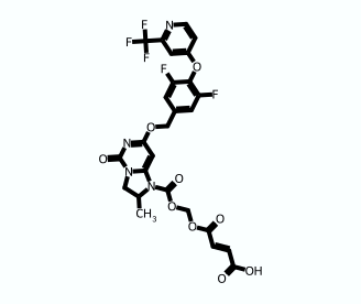 CC1Cn2c(cc(OCc3cc(F)c(Oc4ccnc(C(F)(F)F)c4)c(F)c3)nc2=O)N1C(=O)OCOC(=O)C=CC(=O)O